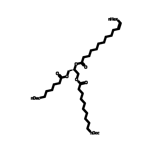 CCCCCC/C=C\CCCCCCCCCC(=O)O[C@@H](COC(=O)CCCCCCCCCCCCCCC)COC(=O)CCCCCCCCCCCCCCCCCCC